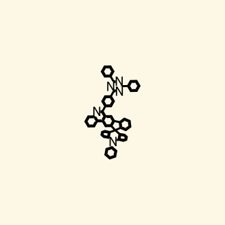 c1ccc(-c2nc(-c3ccccc3)nc(-c3ccc(-c4nc5ccccc5c5cc6c(cc45)-c4ccccc4C64c5ccccc5N(c5ccccc5)c5ccccc54)cc3)n2)cc1